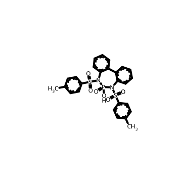 Cc1ccc(S(=O)(=O)N2c3ccccc3-c3ccccc3N(S(=O)(=O)c3ccc(C)cc3)P2(=O)O)cc1